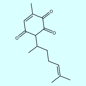 CC(C)=CCCC(C)C1C(=O)C=C(C)C(=O)C1=O